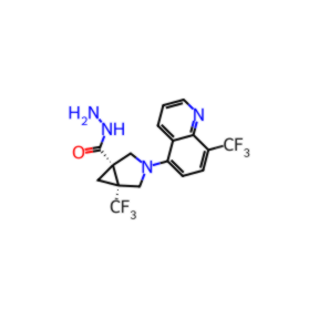 NNC(=O)[C@]12CN(c3ccc(C(F)(F)F)c4ncccc34)C[C@@]1(C(F)(F)F)C2